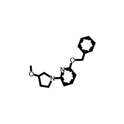 COC1CCN(c2cccc(OCc3ccccc3)n2)C1